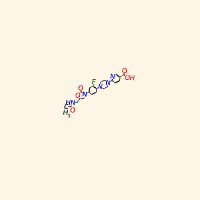 CC(=O)NCC1CN(c2ccc(N3CCN(c4ccc(C(=O)O)cn4)CC3)c(F)c2)C(=O)O1